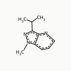 CC(C)c1nn(C)c2cccnc12